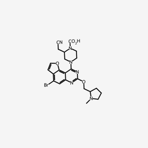 CN1CCCC1COc1nc(N2CCN(C(=O)O)C(CC#N)C2)c2c(cc(Br)c3ccoc32)n1